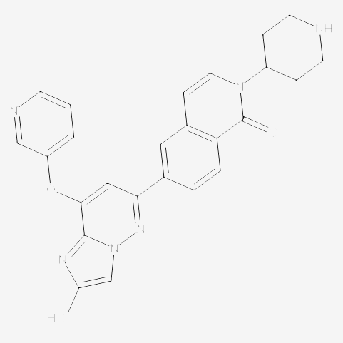 Cc1cn2nc(-c3ccc4c(=O)n(C5CCNCC5)ccc4c3)cc(Oc3cccnc3)c2n1